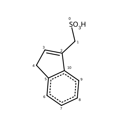 O=S(=O)(O)CC1=CCc2ccccc21